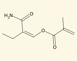 C=C(C)C(=O)OC=C(CC)C(N)=O